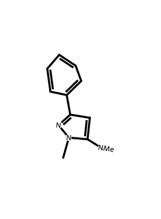 CNc1cc(-c2ccccc2)nn1C